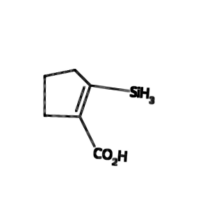 O=C(O)C1=C([SiH3])CCC1